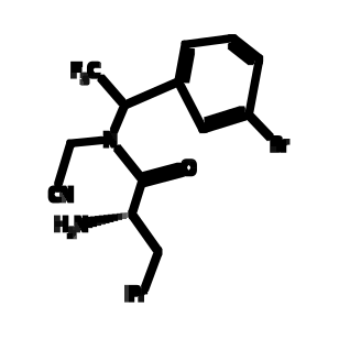 CC(C)C[C@H](N)C(=O)N(CC#N)C(c1cccc(Br)c1)C(F)(F)F